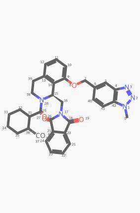 Cn1nnc2cc(COc3cccc4c3[C@@H](CN3C(=O)c5ccccc5C3=O)N(C(=O)C3CCCCC3C(=O)O)CC4)ccc21